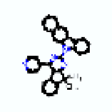 CC1(C)c2ccccc2-c2c(-c3ccncc3)nc(-n3c4ccccc4c4cc5ccccc5cc43)nc21